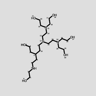 OCCNCCC(CCO)CCN(CCN(CCO)CCO)CCN(CCO)CCO